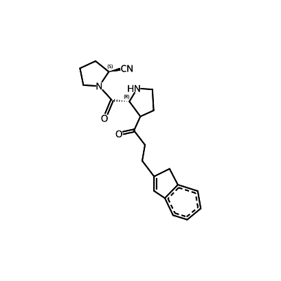 N#C[C@@H]1CCCN1C(=O)[C@@H]1NCCC1C(=O)CCC1=Cc2ccccc2C1